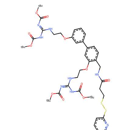 CC(C)(C)OC(=O)/N=C(/NCCOc1cc(-c2cccc(OCCN/C(=N\C(=O)OC(C)(C)C)NC(=O)OC(C)(C)C)c2)ccc1CNC(=O)CCSSc1ccccn1)NC(=O)OC(C)(C)C